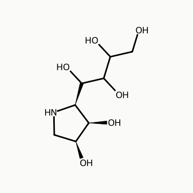 OCC(O)C(O)C(O)[C@@H]1NC[C@H](O)[C@@H]1O